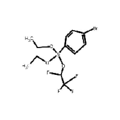 CCO[Si](OCC)(OC(F)C(F)(F)F)c1ccc(Br)cc1